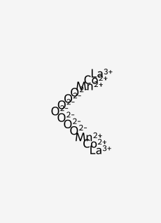 [Co+2].[Co+2].[La+3].[La+3].[Mn+2].[Mn+2].[O-2].[O-2].[O-2].[O-2].[O-2].[O-2].[O-2]